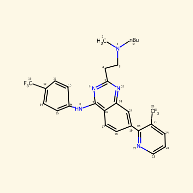 CCCCN(C)CCc1nc(Nc2ccc(C(F)(F)F)cc2)c2ccc(-c3ncccc3C(F)(F)F)cc2n1